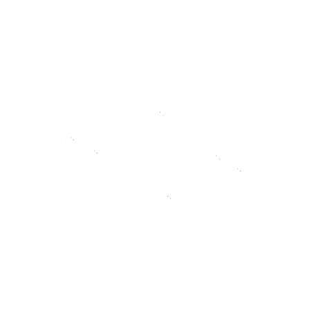 N#Cc1cc2c3c(cc(C#N)c4c5ccc6c7c(ccc(c1c34)c75)C(=O)N(CN)C6=O)C(=O)N(CN)C2=O